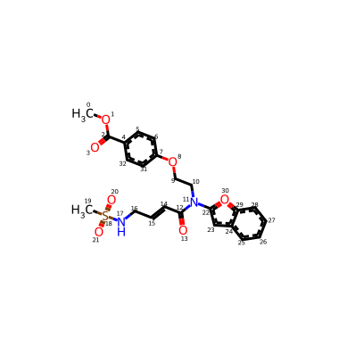 COC(=O)c1ccc(OCCN(C(=O)/C=C/CNS(C)(=O)=O)c2cc3ccccc3o2)cc1